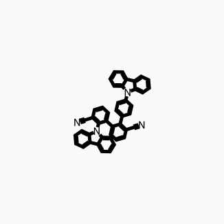 N#Cc1cccc(-c2cccc(C#N)c2-n2c3ccccc3c3ccccc32)c1-c1ccc(-n2c3ccccc3c3ccccc32)cc1